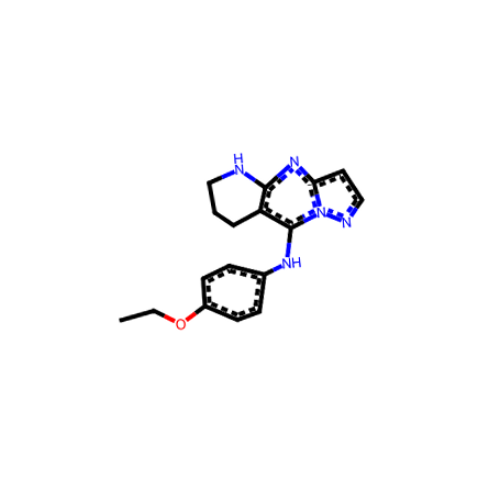 CCOc1ccc(Nc2c3c(nc4ccnn24)NCCC3)cc1